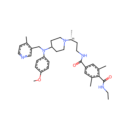 CCNC(=O)c1c(C)cc(C(=O)NCC[C@@H](C)N2CCC(N(Cc3cnccc3C)c3ccc(OC)cc3)CC2)cc1C